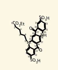 CCOC(=O)CCCCCn1c2ccc(S(=O)(=O)O)cc2c(=O)c2cc3[nH]c4ccc(S(=O)(=O)O)cc4c(=O)c3cc21